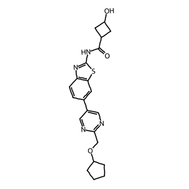 O=C(Nc1nc2ccc(-c3cnc(COC4CCCC4)nc3)cc2s1)C1CC(O)C1